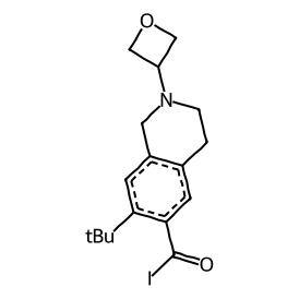 CC(C)(C)c1cc2c(cc1C(=O)I)CCN(C1COC1)C2